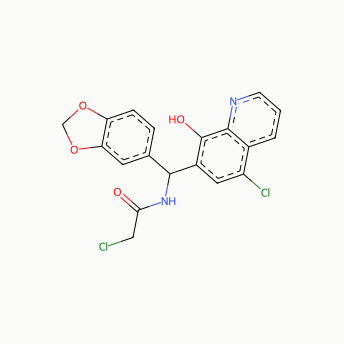 O=C(CCl)NC(c1ccc2c(c1)OCO2)c1cc(Cl)c2cccnc2c1O